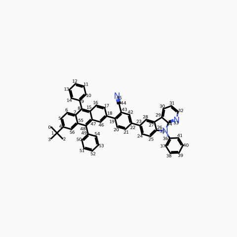 CC(C)(C)c1ccc2c(-c3ccccc3)c3ccc(-c4ccc(-c5ccc6c(c5)c5cccnc5n6-c5ccccc5)cc4C#N)cc3c(-c3ccccc3)c2c1